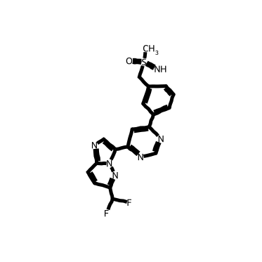 CS(=N)(=O)Cc1cccc(-c2cc(-c3cnc4ccc(C(F)F)nn34)ncn2)c1